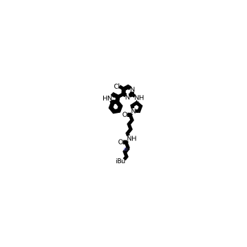 CCC(C)C/C=C/C(=O)NCCCCC(=O)N1CC[C@@H](Nc2ncc(Cl)c(-c3c[nH]c4ccccc34)n2)C1